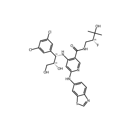 CC(C)(O)[C@H](F)CNC(=O)c1cnc(Nc2ccc3ncsc3c2)cc1N[C@@H](c1cc(Cl)cc(Cl)c1)[C@H](O)CO